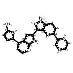 Cc1ccc(-c2ccnc3[nH]c(-c4n[nH]c5ccc(-c6cnccn6)nc45)cc23)s1